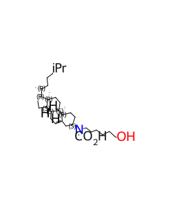 CC(C)CCC[C@@H](C)[C@H]1CC[C@H]2[C@@H]3CC=C4C[C@@H](N(CCCCCCO)C(=O)O)CC[C@]4(C)[C@H]3CC[C@]12C